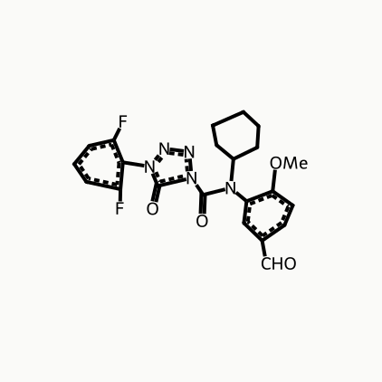 COc1ccc(C=O)cc1N(C(=O)n1nnn(-c2c(F)cccc2F)c1=O)C1CCCCC1